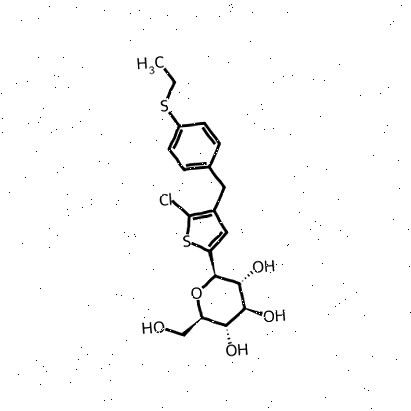 CCSc1ccc(Cc2cc([C@@H]3O[C@H](CO)[C@@H](O)[C@H](O)[C@H]3O)sc2Cl)cc1